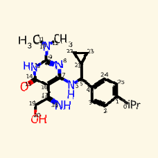 CC(C)c1ccc(C(Nc2nc(N(C)C)[nH]c(=O)c2C(=N)CO)C2CC2)cc1